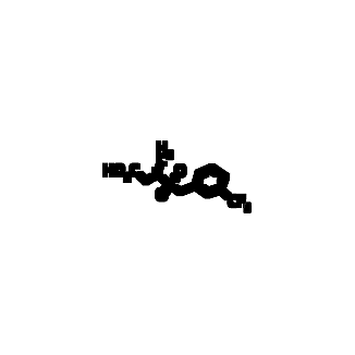 CN(CC(=O)O)S(=O)(=O)Cc1cccc(C(F)(F)F)c1